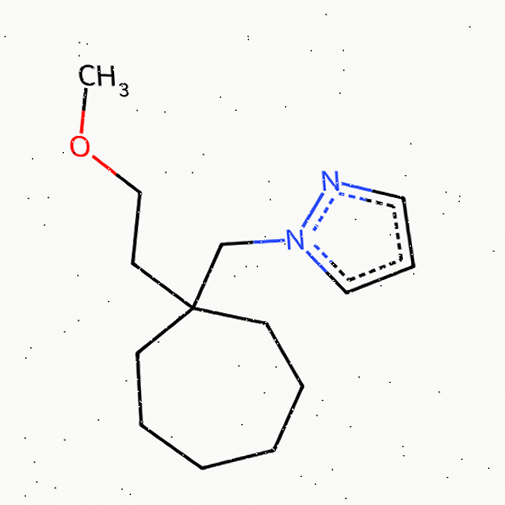 COCCC1(Cn2cccn2)CCCCCC1